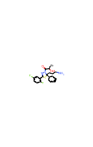 CC(C)C(O)C(=O)N1N=C(c2cc(F)ccc2F)SC1(CCCN)c1ccccc1